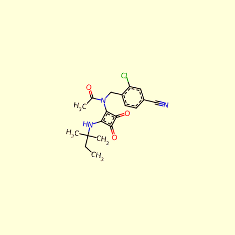 CCC(C)(C)Nc1c(N(Cc2ccc(C#N)cc2Cl)C(C)=O)c(=O)c1=O